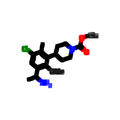 COc1c(C(C)N)cc(Cl)c(C)c1C1CCN(C(=O)OC(C)(C)C)CC1